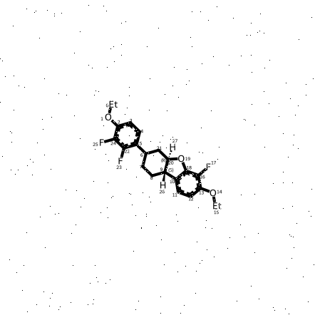 CCOc1ccc(C2CC[C@H]3c4ccc(OCC)c(F)c4O[C@@H]3C2)c(F)c1F